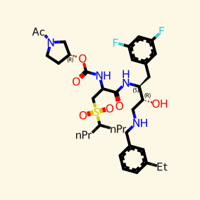 CCCC(CCC)S(=O)(=O)CC(NC(=O)O[C@@H]1CCN(C(C)=O)C1)C(=O)N[C@@H](Cc1cc(F)cc(F)c1)[C@H](O)CNCc1cccc(CC)c1